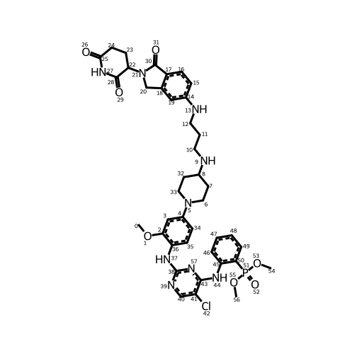 COc1cc(N2CCC(NCCCNc3ccc4c(c3)CN(C3CCC(=O)NC3=O)C4=O)CC2)ccc1Nc1ncc(Cl)c(Nc2ccccc2P(=O)(OC)OC)n1